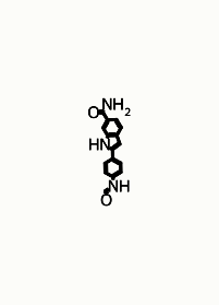 NC(=O)c1ccc2cc(-c3ccc(NC=O)cc3)[nH]c2c1